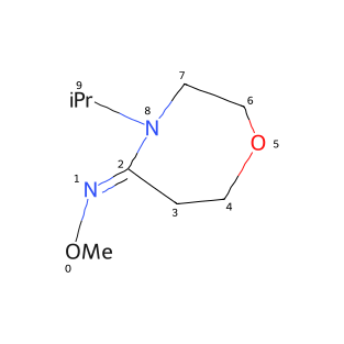 CO/N=C1\CCOCCN1C(C)C